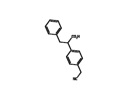 N#CCc1ccc(C(Cc2ccccc2)C(=O)O)cc1